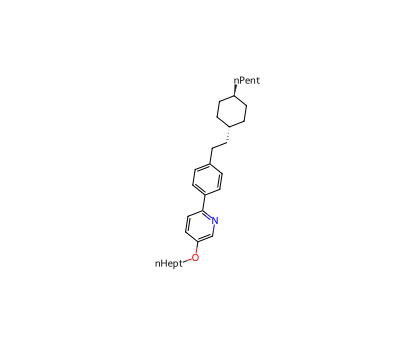 CCCCCCCOc1ccc(-c2ccc(CC[C@H]3CC[C@H](CCCCC)CC3)cc2)nc1